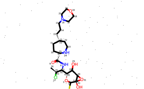 CSC1O[C@H]([C@H](NC(=O)[C@@H]2CC[C@H](CCCN3CCOCC3)CCN2)[C@H](C)Cl)C(O)C2O[C@]12O